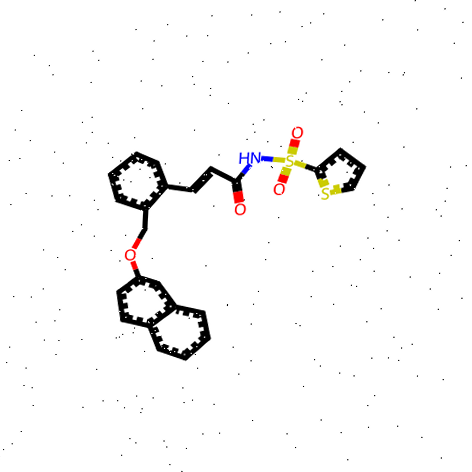 O=C(/C=C/c1ccccc1COc1ccc2ccccc2c1)NS(=O)(=O)c1cccs1